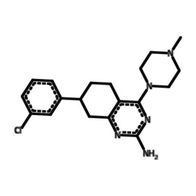 CN1CCN(c2nc(N)nc3c2CCC(c2cccc(Cl)c2)C3)CC1